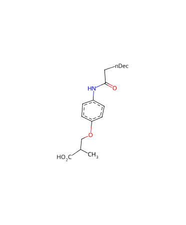 CCCCCCCCCCCC(=O)Nc1ccc(OCC(C)C(=O)O)cc1